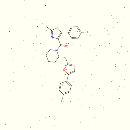 Cc1nc(C(=O)N2CCCC[C@H]2Cc2ccc(-c3ccc(F)cc3)o2)c(-c2ccc(F)cc2)s1